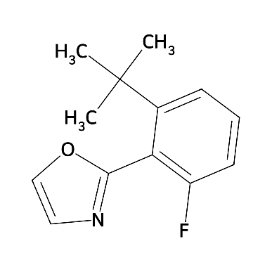 CC(C)(C)c1cccc(F)c1-c1ncco1